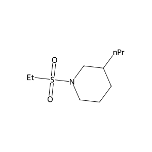 C[CH]CC1CCCN(S(=O)(=O)CC)C1